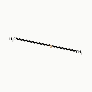 CCCCCCCCCCCCCCCCCCCCC[CH]SCCCCCCCCCCCCCCCC